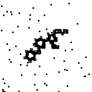 CCOC(=O)c1cc(-c2ccnc(Oc3ccccc3)n2)n(C(C)(C)C)n1